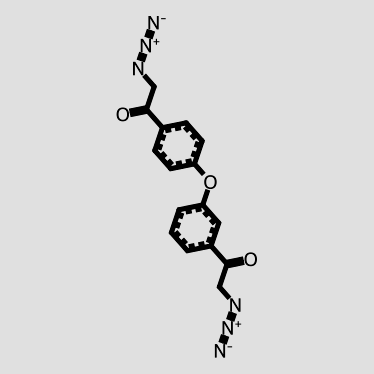 [N-]=[N+]=NCC(=O)c1ccc(Oc2cccc(C(=O)CN=[N+]=[N-])c2)cc1